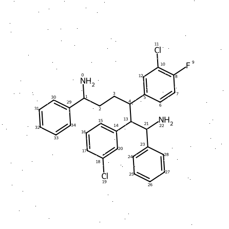 NC(CC[C](c1ccc(F)c(Cl)c1)C(c1cccc(Cl)c1)C(N)c1ccccc1)c1ccccc1